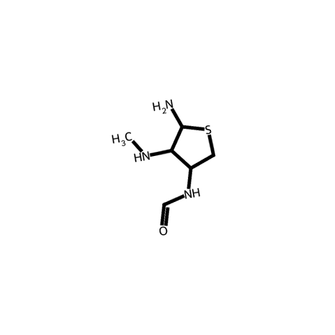 CNC1C(NC=O)CSC1N